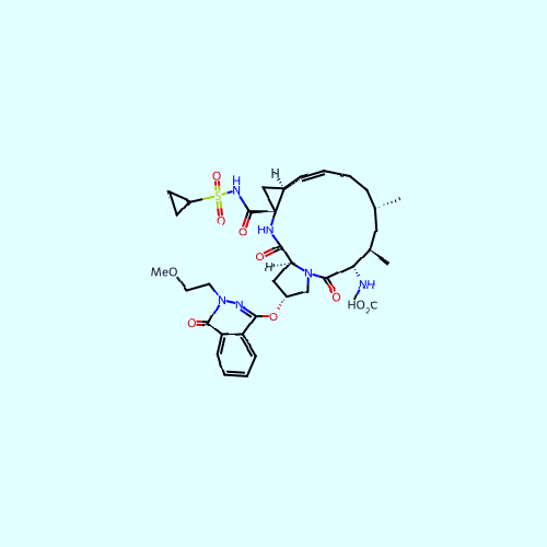 COCCn1nc(O[C@@H]2C[C@H]3C(=O)N[C@]4(C(=O)NS(=O)(=O)C5CC5)C[C@H]4/C=C\CC[C@H](C)C[C@@H](C)[C@H](NC(=O)O)C(=O)N3C2)c2ccccc2c1=O